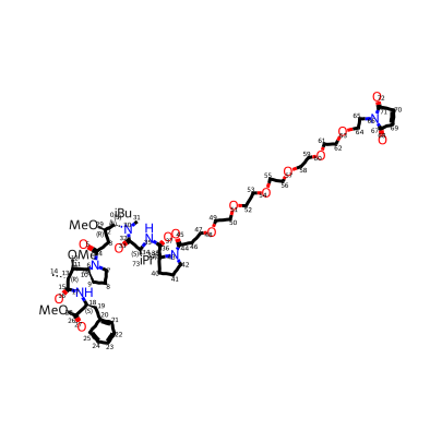 CC[C@H](C)[C@@H]([C@@H](CC(=O)N1CCC[C@H]1[C@H](OC)[C@@H](C)C(=O)N[C@@H](Cc1ccccc1)C(=O)OC)OC)N(C)C(=O)[C@@H](NC(=O)[C@]1(C)CCCN1C(=O)CCOCCOCCOCCOCCOCCOCCN1C(=O)C=CC1=O)C(C)C